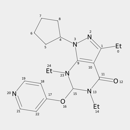 CCc1nn(C2CCCC2)c2c1C(=O)N(CC)C(Oc1ccncc1)N2CC